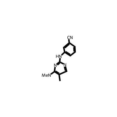 CNc1nc(Nc2cccc(C#N)c2)ncc1C